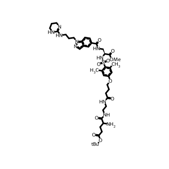 COC(=O)[C@H](CNC(=O)c1ccc2c(cnn2CCCNC2=NCCCN2)c1)NS(=O)(=O)c1c(C)cc(OCCCC(=O)NCCNC(=O)C(N)CCC(=O)OC(C)(C)C)cc1C